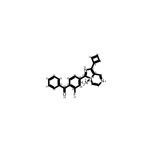 N[N+]12C=CN=CC1=C(C1=CC=C1)N=C2c1ccc(C(=O)c2ccccc2)c(F)c1